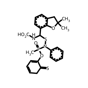 CC1(C)Cc2cccc(C(NC(=O)O)SN(c3ccccc3)P(C)(=O)OC3=CC=CCC3=S)c2O1